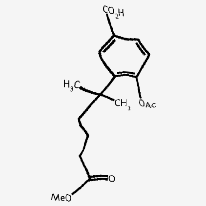 COC(=O)CCCC(C)(C)c1cc(C(=O)O)ccc1OC(C)=O